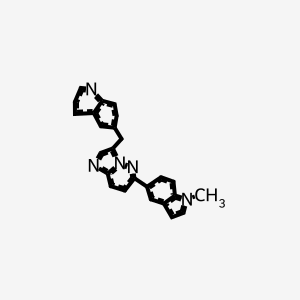 Cn1ccc2cc(-c3ccc4ncc(Cc5ccc6ncccc6c5)n4n3)ccc21